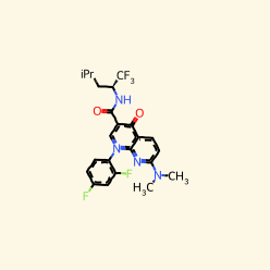 CC(C)C[C@H](NC(=O)c1cn(-c2ccc(F)cc2F)c2nc(N(C)C)ccc2c1=O)C(F)(F)F